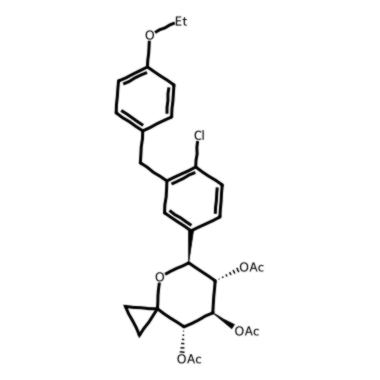 CCOc1ccc(Cc2cc([C@@H]3OC4(CC4)[C@@H](OC(C)=O)[C@H](OC(C)=O)[C@H]3OC(C)=O)ccc2Cl)cc1